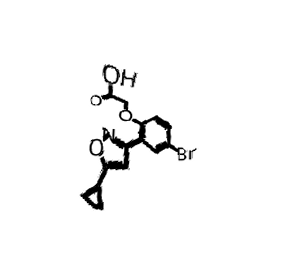 O=C(O)COc1ccc(Br)cc1-c1cc(C2CC2)on1